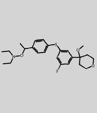 CCN(CC)OC(C)c1ccc(Sc2cc(F)cc(C3(OC)CCOCC3)c2)cc1